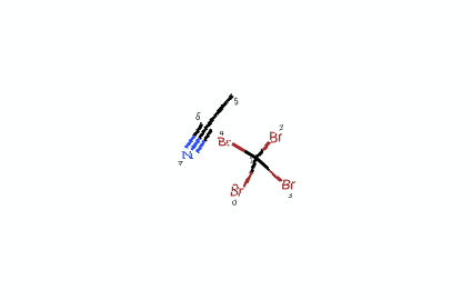 BrC(Br)(Br)Br.CC#N